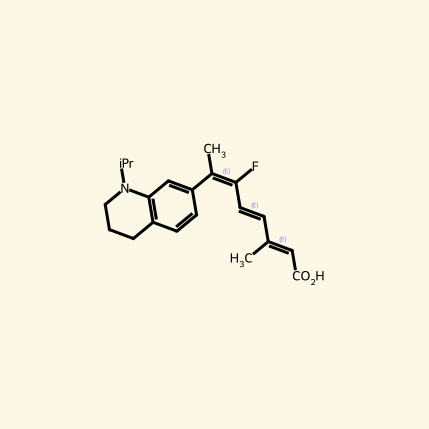 CC(/C=C/C(F)=C(/C)c1ccc2c(c1)N(C(C)C)CCC2)=C\C(=O)O